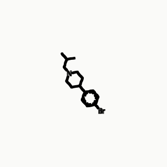 CC(C)CN1CCC(c2ccc(Br)cc2)CC1